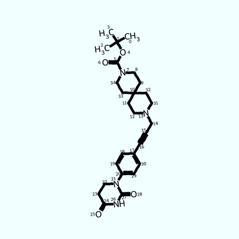 CC(C)(C)OC(=O)N1CCC2(CCN(CC#Cc3ccc(N4CCC(=O)NC4=O)cc3)CC2)CC1